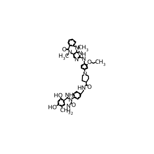 CCOc1cc(N2CCC(C(=O)NCc3ccc(N(C(=N)c4cc(C)c(O)cc4O)C(N)=O)cc3)CC2)ccc1Nc1ncc2c(n1)N(C)c1ccccc1C(=O)N2C